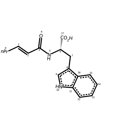 CCCC=CC(=O)N[C@@H](Cc1c[nH]c2ccccc12)C(=O)O